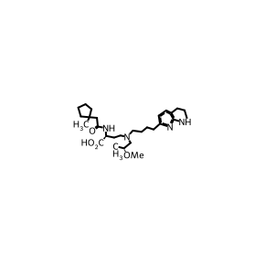 CO[C@H](C)CN(CCCCc1ccc2c(n1)NCCC2)CC[C@H](NC(=O)CC1(C)CCCC1)C(=O)O